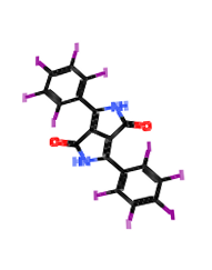 O=C1NC(c2c(I)c(I)c(I)c(I)c2I)=C2C(=O)NC(c3c(I)c(I)c(I)c(I)c3I)=C12